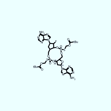 CC(C)(C)C(=O)OCSP1(=O)OCC2O[C@@H](n3cnc4c(N)ncnc43)C[C@H]2OP(=O)(SCOC(=O)C(C)(C)C)OCC2CC(n3cnc4c(N)ncnc43)C(F)C2O1